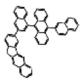 c1ccc2cc(-c3c4ccccc4c(-c4cc(-c5ccc6oc7cc8ccccc8cc7c6c5)cc5ccccc45)c4ccccc34)ccc2c1